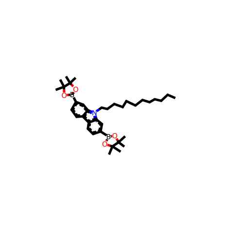 CCCCCCCCCCCCn1c2cc(B3OC(C)(C)C(C)(C)O3)ccc2c2ccc(B3OC(C)(C)C(C)(C)O3)cc21